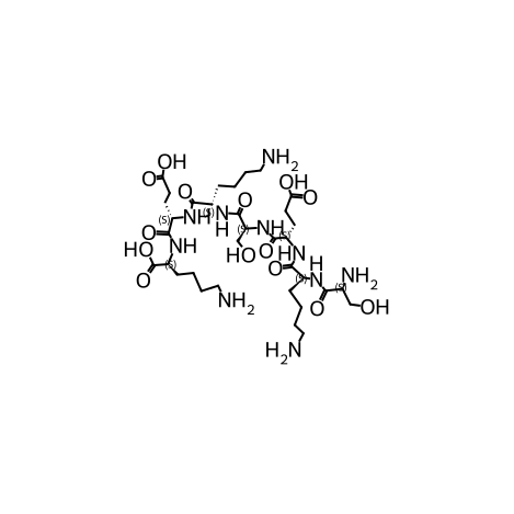 NCCCC[C@H](NC(=O)[C@H](CCC(=O)O)NC(=O)[C@H](CCCCN)NC(=O)[C@H](CO)NC(=O)[C@H](CCC(=O)O)NC(=O)[C@H](CCCCN)NC(=O)[C@@H](N)CO)C(=O)O